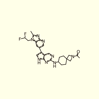 CC(=O)N1CC2(CCC(Nc3ncc4c(-c5cnc6nc(C)n(CC(F)F)c6c5)c[nH]c4n3)CC2)C1